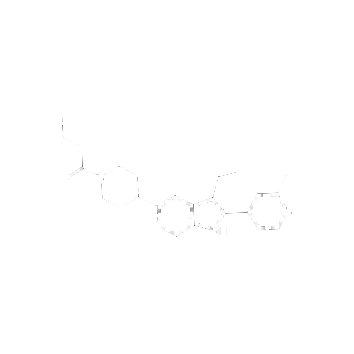 CCOC(=O)N1CCC(c2ccc3[nH]c(-c4ccnc(C)c4)c(C(C)C)c3c2)CC1